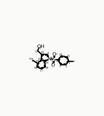 Cc1ccc(S(=O)(=O)n2cc(CO)c3c(I)cccc32)cc1